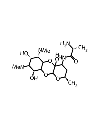 CNC1[C@H](O)C2OC3O[C@H](C)CC(NC(=O)[C@@H](C)N)C3(O)OC2[C@@H](NC)[C@H]1O